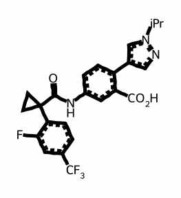 CC(C)n1cc(-c2ccc(NC(=O)C3(c4ccc(C(F)(F)F)cc4F)CC3)cc2C(=O)O)cn1